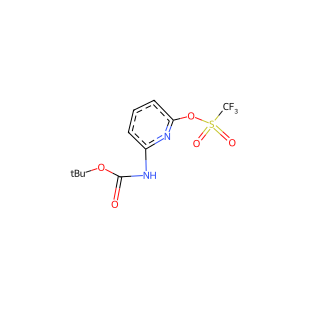 CC(C)(C)OC(=O)Nc1cccc(OS(=O)(=O)C(F)(F)F)n1